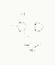 CC(=O)C1(O)CCC(c2ccc(CN)c(C)c2C)CC1.c1ccccc1